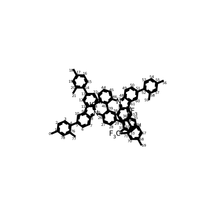 Cc1ccc(-c2ccc3c(c2)c2cc(-c4ccc(C)cc4C)ccc2n3-c2ccc(-c3c(C(F)(F)F)cccc3C(F)(F)F)cc2-c2c(C#N)cccc2-n2c3ccc(-c4ccc(C)cc4C)cc3c3cc(-c4ccc(C)cc4C)ccc32)c(C)c1